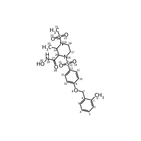 Cc1ccccc1COc1ccc(S(=O)(=O)N2CCN(S(C)(=O)=O)C(C)C2C(=O)NO)cc1